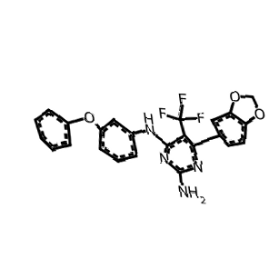 Nc1nc(Nc2cccc(Oc3ccccc3)c2)c(C(F)(F)F)c(-c2ccc3c(c2)OCO3)n1